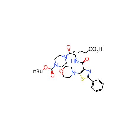 CCCCOC(=O)N1CCN(C(=O)[C@H](CCC(=O)O)NC(=O)c2nc(-c3ccccc3)sc2N2CCOCC2)CC1